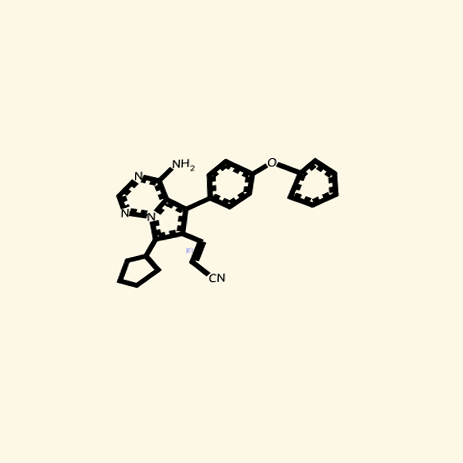 N#C/C=C/c1c(-c2ccc(Oc3ccccc3)cc2)c2c(N)ncnn2c1C1CCCC1